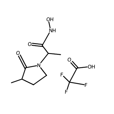 CC1CCN(C(C)C(=O)NO)C1=O.O=C(O)C(F)(F)F